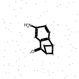 Nc1ccc2c(c1)C(=O)C1CC2C1